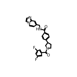 O=C(NCc1ccn2ccnc2c1)c1ccc(C2CCN(C(=O)c3cc(F)cc(F)c3)C2)cc1